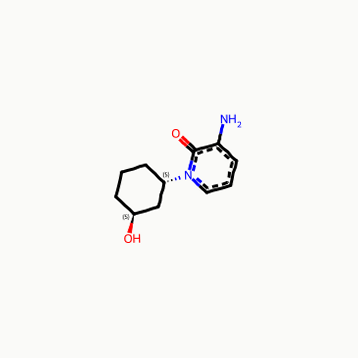 Nc1cccn([C@H]2CCC[C@H](O)C2)c1=O